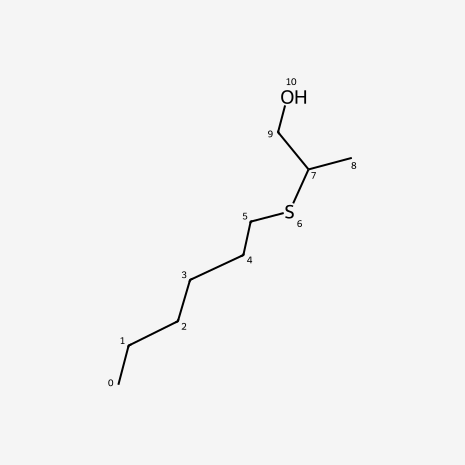 CCCCCCSC(C)CO